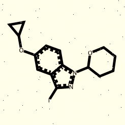 Ic1nn(C2CCCCO2)c2ccc(OC3CC3)cc12